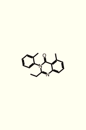 CCc1nc2cccc(C)c2c(=O)n1-c1ccccc1C